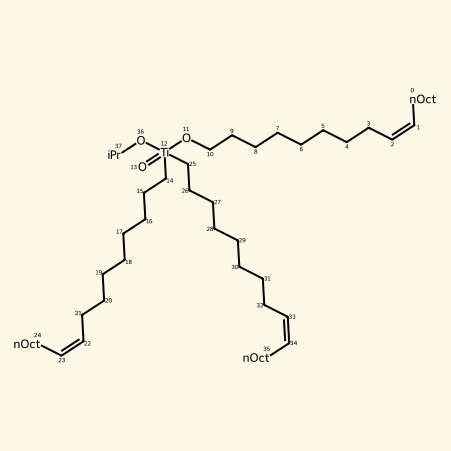 CCCCCCCC/C=C\CCCCCCCC[O][Ti](=[O])([CH2]CCCCCCC/C=C\CCCCCCCC)([CH2]CCCCCCC/C=C\CCCCCCCC)[O]C(C)C